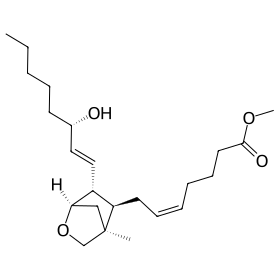 CCCCC[C@H](O)/C=C/[C@@H]1[C@@H](C/C=C\CCCC(=O)OC)[C@@]2(C)CO[C@@H]1C2